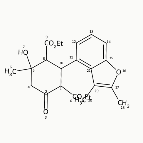 CCOC(=O)C1C(=O)CC(C)(O)C(C(=O)OCC)C1c1cccc2oc(C)c(C)c12